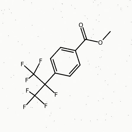 COC(=O)c1ccc(C(F)(C(F)(F)F)C(F)(F)F)cc1